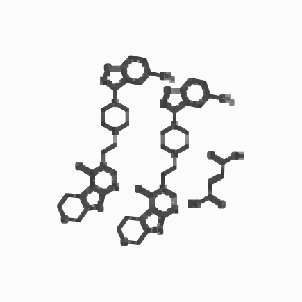 Cc1ccc2onc(N3CCN(CCn4cnc5sc6c(c5c4=O)CCOC6)CC3)c2c1.Cc1ccc2onc(N3CCN(CCn4cnc5sc6c(c5c4=O)CCOC6)CC3)c2c1.O=C(O)/C=C/C(=O)O